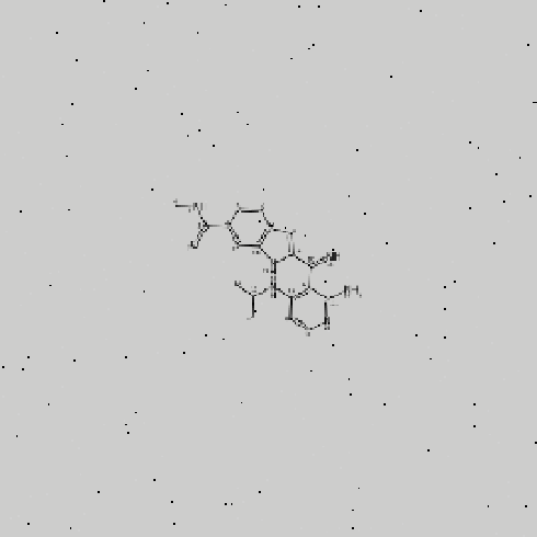 CNC(=O)c1ccc2cc(C(=N)c3c(NC(C)C)ccnc3N)[nH]c2c1